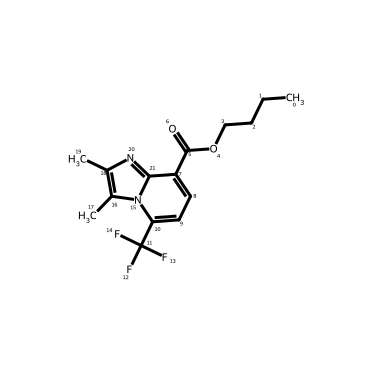 CCCCOC(=O)c1ccc(C(F)(F)F)n2c(C)c(C)nc12